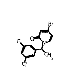 CC(c1cc(F)cc(Cl)c1)n1ccc(Br)cc1=O